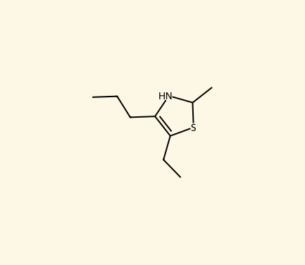 CCCC1=C(CC)SC(C)N1